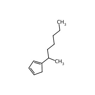 CCCCCC(C)C1=CC=CC1